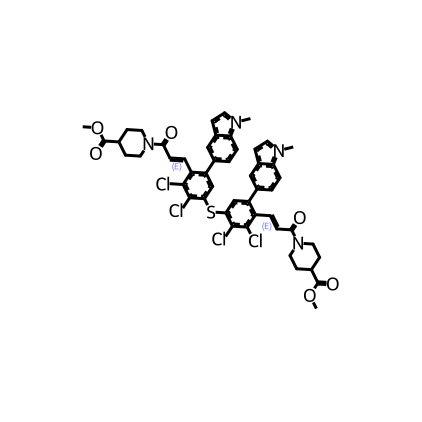 COC(=O)C1CCN(C(=O)/C=C/c2c(-c3ccc4c(ccn4C)c3)cc(Sc3cc(-c4ccc5c(ccn5C)c4)c(/C=C/C(=O)N4CCC(C(=O)OC)CC4)c(Cl)c3Cl)c(Cl)c2Cl)CC1